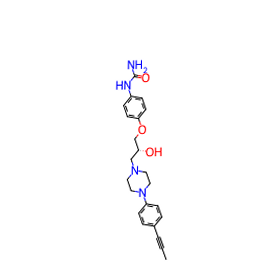 CC#Cc1ccc(N2CCN(C[C@@H](O)COc3ccc(NC(N)=O)cc3)CC2)cc1